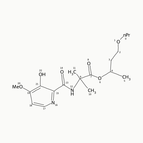 CCCOCCC(C)OC(=O)C(C)(C)NC(=O)c1nccc(OC)c1O